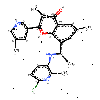 Cc1cc([C@@H](C)Nc2ccc(Cl)nc2C)c2oc(-c3cncc(C#N)c3)c(C)c(=O)c2c1